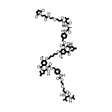 C=C1CC2C(O)N(C(=O)OCc3ccc(NC(=O)OCCOCCC(=O)N[C@H](C(=O)NC(C)C)C(C)C)cc3)c3cc(OCCCCCOc4cc5c(cc4OC)C(=O)N4CC(=C)C[C@H]4[C@H](O)N5C(=O)OCc4ccc(NC(=O)[C@H](C)NC(=O)[C@@H](NC(=O)CCOCCNC(=O)CCN5C(=O)C=CC5=O)C(C)C)cc4)c(OC)cc3C(=O)N2C1